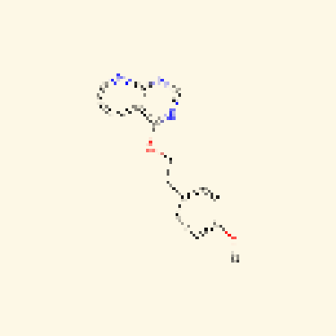 CCOc1ccc(CCOc2ncnc3ncccc23)cc1